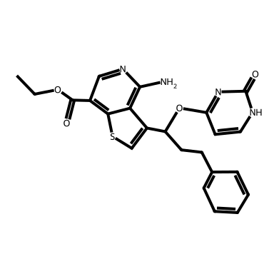 CCOC(=O)c1cnc(N)c2c(C(CCc3ccccc3)Oc3cc[nH]c(=O)n3)csc12